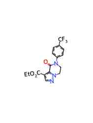 CCOC(=O)c1cnn2c1C(=O)N(c1ccc(C(F)(F)F)cc1)CC2